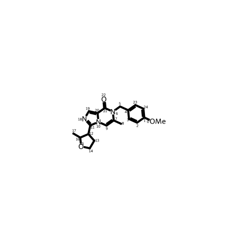 COc1ccc(Cn2c(C)cn3c(C4CCOC4C)ncc3c2=O)cc1